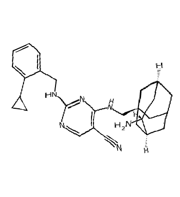 N#Cc1cnc(NCc2ccccc2C2CC2)nc1NC[C@]12CC3C[C@H](C1)[C@@H](N)[C@@H](C3)C2